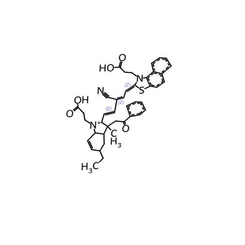 CCC1C=CC2C(C1)C(C)(CC(=O)c1ccccc1)C(/C=C/C(C#N)=C/C=C1\Sc3ccc4ccccc4c3N1CCC(=O)O)=[N+]2CCC(=O)O